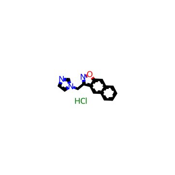 Cl.c1ccc2cc3c(Cn4ccnc4)noc3cc2c1